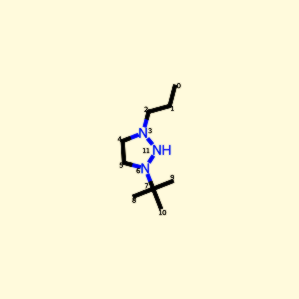 CCCN1CCN(C(C)(C)C)N1